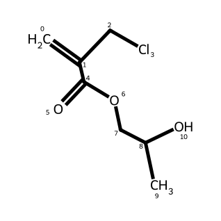 C=C(CCl)C(=O)OCC(C)O